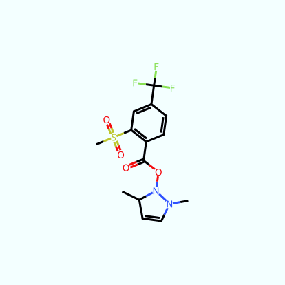 CC1C=CN(C)N1OC(=O)c1ccc(C(F)(F)F)cc1S(C)(=O)=O